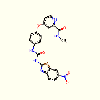 CNC(=O)c1cc(Oc2ccc(NC(=O)Nc3nc4ccc([N+](=O)[O-])cc4s3)cc2)ccn1